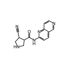 N#CC1CNCC1C(=O)Nc1ccc2cnccc2n1